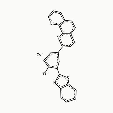 [Cs+].[O-]c1ccc(-c2ccc3ccc4cccnc4c3n2)cc1-c1nc2ccccc2s1